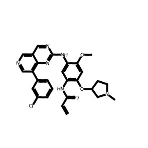 C=CC(=O)Nc1cc(Nc2ncc3cncc(-c4cccc(Cl)c4)c3n2)c(OC)cc1OC1CCN(C)C1